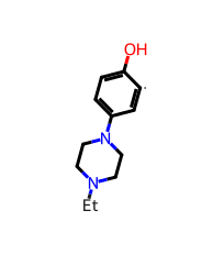 CCN1CCN(c2c[c]c(O)cc2)CC1